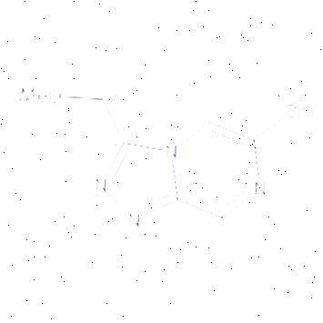 COCc1nnc2cnc(Br)cn12